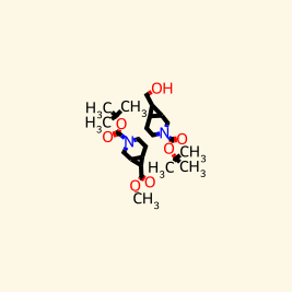 CC(C)(C)OC(=O)N1CCC2C(CO)C2C1.COC(=O)C1C2CCN(C(=O)OC(C)(C)C)CC21